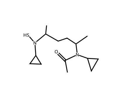 CC(=O)N(C(C)CCC(C)N(S)C1CC1)C1CC1